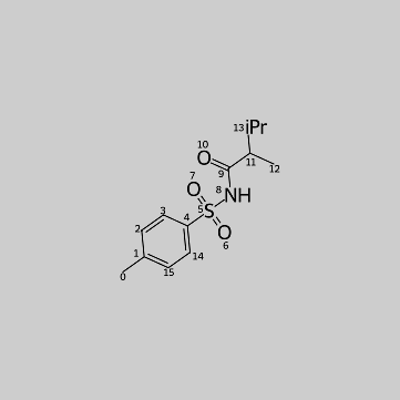 Cc1ccc(S(=O)(=O)NC(=O)C(C)C(C)C)cc1